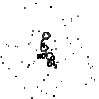 C[C@H]1C[C@@](C#N)(C2CCN(Cc3ccccc3)CC2)CCO1